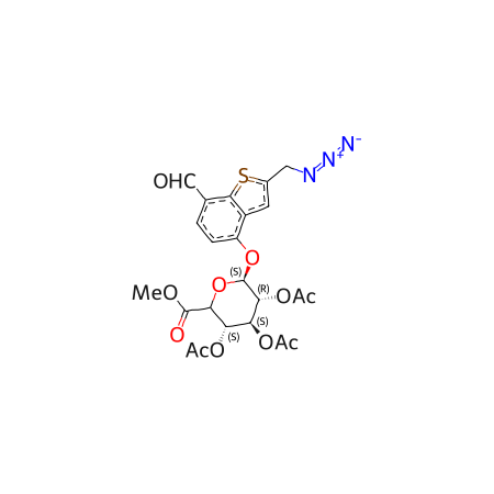 COC(=O)C1O[C@@H](Oc2ccc(C=O)c3sc(CN=[N+]=[N-])cc23)[C@H](OC(C)=O)[C@@H](OC(C)=O)[C@@H]1OC(C)=O